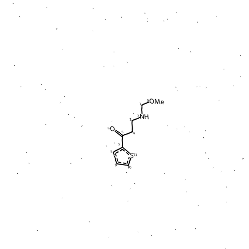 COCNCCC(=O)c1cccs1